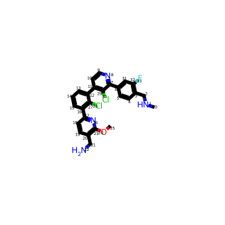 CNCc1ccc(-c2nccc(-c3cccc(-c4ccc(CN)c(OC)n4)c3Cl)c2Cl)cc1F